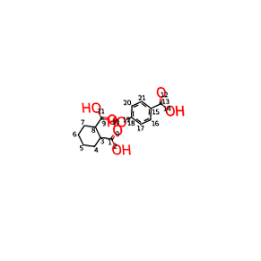 O=C(O)C1CCCCC1C(=O)O.O=C(O)c1ccc(O)cc1